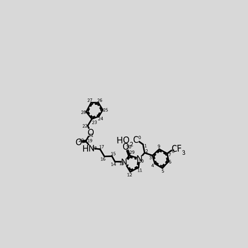 O=C(O)CC(c1cccc(C(F)(F)F)c1)n1ccn(CCCCNC(=O)OCc2ccccc2)c1=O